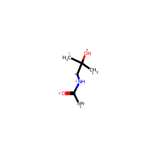 CCCC(=O)NCC(C)(C)O